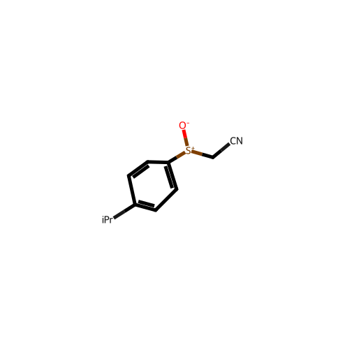 CC(C)c1ccc([S+]([O-])CC#N)cc1